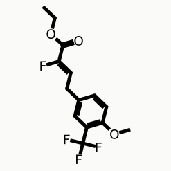 CCOC(=O)C(F)=CCc1ccc(OC)c(C(F)(F)F)c1